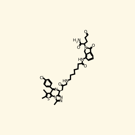 Cc1sc2c(c1C)C(c1ccc(Cl)cc1)=N[C@@H](CC(=O)CNCCCCCCC(=O)Nc1cccc3c1CN(C(CCC=O)C(N)=O)C3=O)c1nnc(C)n1-2